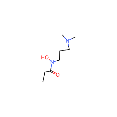 CCC(=O)N(O)CCCN(C)C